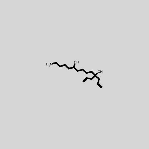 C=CCC(O)(CC=C)CCCCC(O)CCCCN